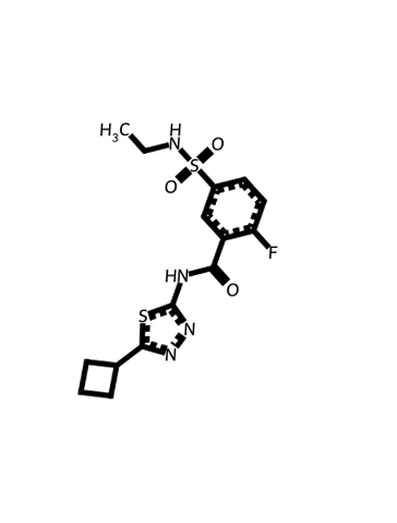 CCNS(=O)(=O)c1ccc(F)c(C(=O)Nc2nnc(C3CCC3)s2)c1